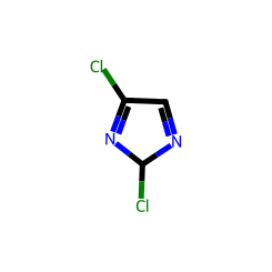 ClC1=NC(Cl)N=C1